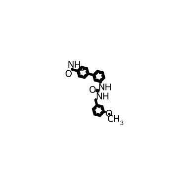 COc1cccc(CNC(=O)Nc2cccc(-c3ccc(C(N)=O)cc3)c2)c1